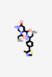 Cc1ncsc1-c1ccc(C(CC(C)(C)C)NC(=O)C2=CC(=O)NCN2C(=O)CC(C)(C)C)cc1